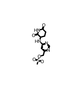 CS(=O)(=O)OCc1cc(NC2CCC(=O)NC2=O)ncn1